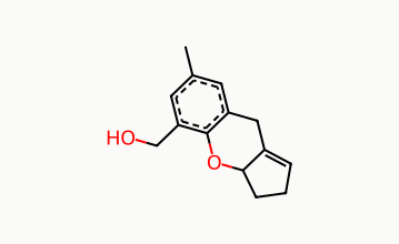 Cc1cc(CO)c2c(c1)CC1=CCCC1O2